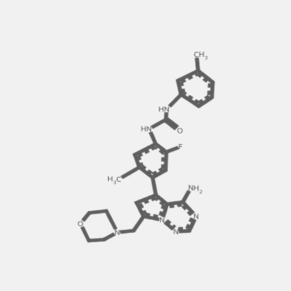 Cc1cccc(NC(=O)Nc2cc(C)c(-c3cc(CN4CCOCC4)n4ncnc(N)c34)cc2F)c1